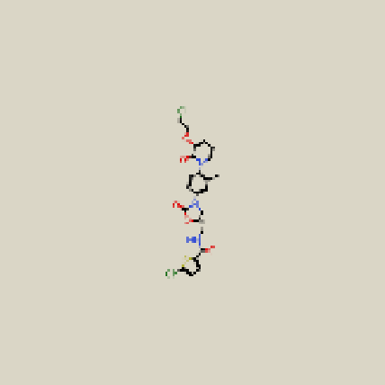 Cc1cc(N2C[C@H](CNC(=O)c3ccc(Cl)s3)OC2=O)ccc1-n1cccc(OCCCl)c1=O